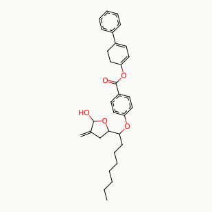 C=C1CC(C(CCCCCCC)Oc2ccc(C(=O)OC3=CC=C(c4ccccc4)CC3)cc2)OC1O